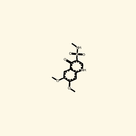 CNS(=O)(=O)c1c[nH]c2cc(OC)c(OC)cc2c1=O